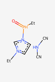 CC[n+]1ccn([PH](=O)CC)c1.N#CNC#N